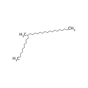 CCCCCCCCCCCCCCCCCC(C)CCCCCCCCCC